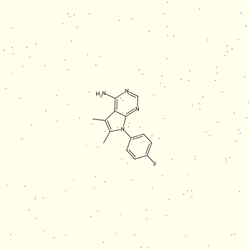 Cc1c(C)n(-c2ccc(F)cc2)c2ncnc(N)c12